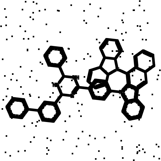 C1=CCC2C=c3c(n(-c4ccc(C5=NC(c6cccc(-c7ccccc7)c6)NC(c6ccccc6)N5)cc4)c4ccccc34)=C(N3C4C=CC=CC4C4C=CC=CC43)C2=C1